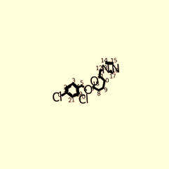 Clc1ccc(COC2CCCC(Cn3ccnc3)O2)c(Cl)c1